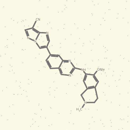 COc1cc2c(cc1Nc1ncc3ccc(-c4cnc5c(C#N)cnn5c4)cc3n1)CN(C)CC2